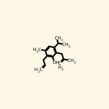 C=CCc1c(C)cc(C(C)C)c(CC(=C)C)c1O